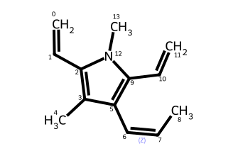 C=Cc1c(C)c(/C=C\C)c(C=C)n1C